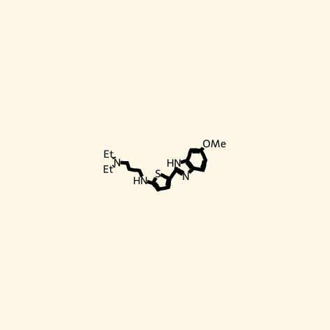 CCN(CC)CCCNc1ccc(-c2nc3ccc(OC)cc3[nH]2)s1